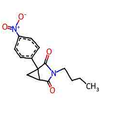 CCCCN1C(=O)C2CC2(c2ccc([N+](=O)[O-])cc2)C1=O